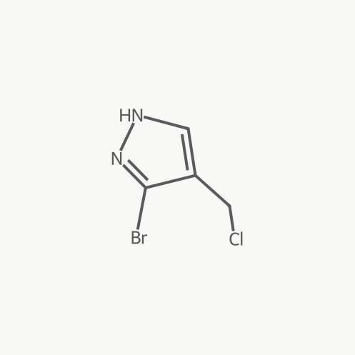 ClCc1c[nH]nc1Br